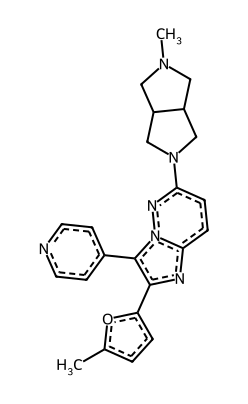 Cc1ccc(-c2nc3ccc(N4CC5CN(C)CC5C4)nn3c2-c2ccncc2)o1